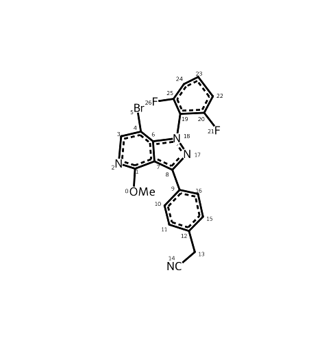 COc1ncc(Br)c2c1c(-c1ccc(CC#N)cc1)nn2-c1c(F)cccc1F